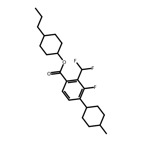 CCCC1CCC(OC(=O)c2ccc(C3CCC(C)CC3)c(F)c2C(F)F)CC1